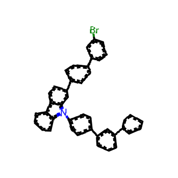 Brc1cccc(-c2ccc(-c3ccc4c5ccccc5n(-c5ccc(-c6cccc(-c7ccccc7)c6)cc5)c4c3)cc2)c1